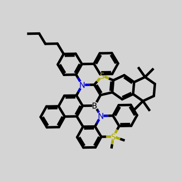 CCCCc1ccc(N2c3cc4ccccc4c4c3B(c3c2sc2cc5c(cc32)C(C)(C)CCC5(C)C)N2c3ccccc3S(C)(C)c3cccc-4c32)c(-c2ccccc2)c1